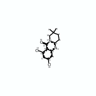 CC1(C)CCc2nc3cc(Cl)cc(Cl)c3c(=O)n2C1